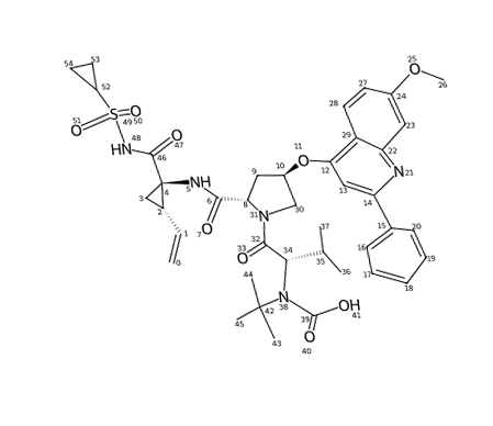 C=C[C@@H]1C[C@]1(NC(=O)[C@@H]1C[C@@H](Oc2cc(-c3ccccc3)nc3cc(OC)ccc23)CN1C(=O)[C@H](C(C)C)N(C(=O)O)C(C)(C)C)C(=O)NS(=O)(=O)C1CC1